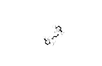 O=C(/C=C/C(=O)ON1C(=O)C=CC1=O)ON1C(=O)C=CC1=O